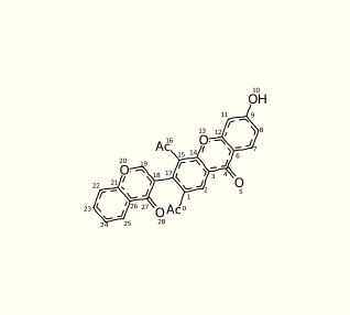 CC(=O)c1cc2c(=O)c3ccc(O)cc3oc2c(C(C)=O)c1-c1coc2ccccc2c1=O